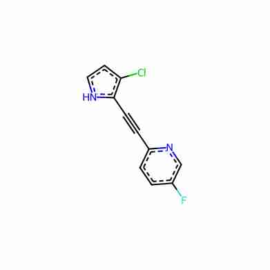 Fc1ccc(C#Cc2[nH]ccc2Cl)nc1